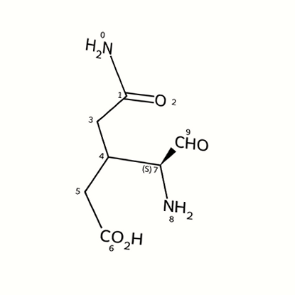 NC(=O)CC(CC(=O)O)[C@H](N)C=O